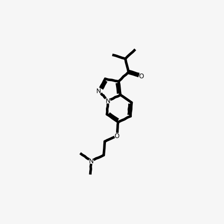 CC(C)C(=O)c1cnn2cc(OCCN(C)C)ccc12